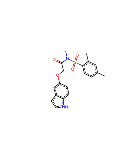 Cc1ccc(S(=O)(=O)N(C)C(=O)COc2ccc3[nH]ccc3c2)c(C)c1